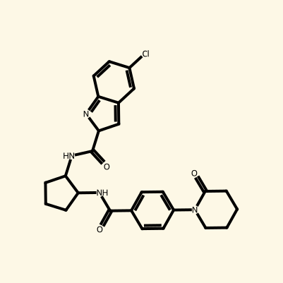 O=C(NC1CCCC1NC(=O)C1C=c2cc(Cl)ccc2=N1)c1ccc(N2CCCCC2=O)cc1